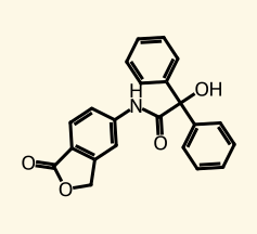 O=C1OCc2cc(NC(=O)C(O)(c3ccccc3)c3ccccc3)ccc21